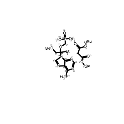 CC(C)(C)OC(=O)CC(=O)OC(C)(C)C.CCC(COC)(OCP(=O)(O)O)n1cnc2c(N)ncnc21